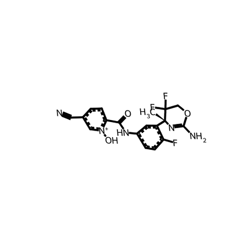 C[C@]1(c2cc(NC(=O)c3ccc(C#N)c[n+]3O)ccc2F)N=C(N)OCC1(F)F